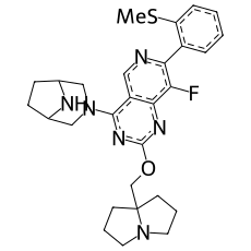 CSc1ccccc1-c1ncc2c(N3CC4CCC(C3)N4)nc(OCC34CCCN3CCC4)nc2c1F